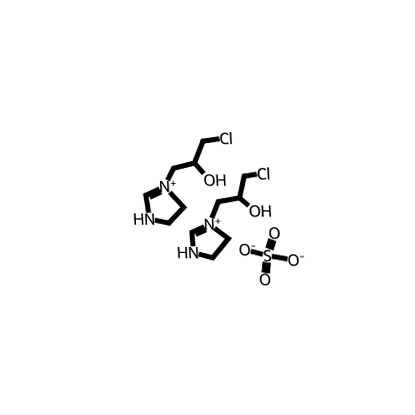 O=S(=O)([O-])[O-].OC(CCl)C[N+]1=CNCC1.OC(CCl)C[N+]1=CNCC1